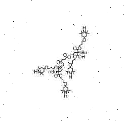 CCCCC(CCCOC(=O)CCC(=O)OCCCC(CCCC)(C(=O)OCCCOC1CC(C)(C)NC(C)(C)C1)C(O)OCCCOC1CC(C)(C)NC(C)(C)C1)(C(=O)OCCCOC1CC(C)(C)NC(C)(C)C1)C(=O)OCCCOC1CC(C)(C)NC(C)(C)C1